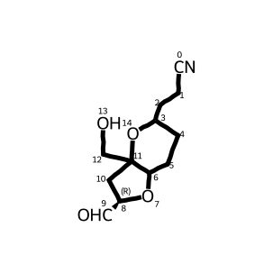 N#CCCC1CCC2O[C@@H](C=O)CC2(CO)O1